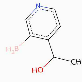 Bc1cnccc1C(C)O